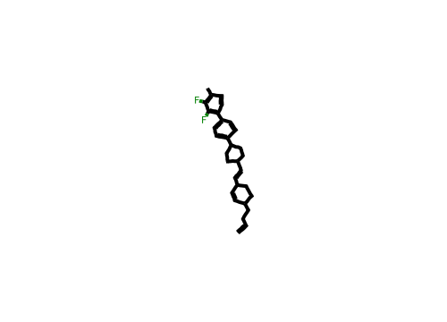 C=CCCC1C=CC(/C=C/C2CCC(c3ccc(-c4ccc(C)c(F)c4F)cc3)CC2)CC1